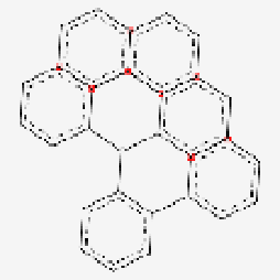 c1ccc(-c2ccccc2[C](c2ccccc2-c2ccccc2)c2ccccc2-c2ccccc2)cc1